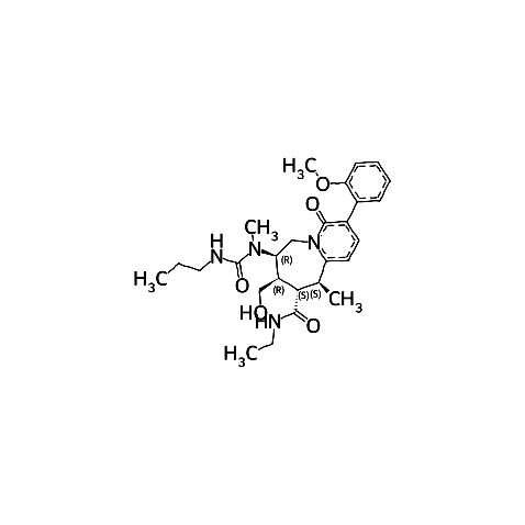 CCCNC(=O)N(C)[C@H]1Cn2c(ccc(-c3ccccc3OC)c2=O)[C@@H](C)[C@H](C(=O)NCC)[C@H]1CO